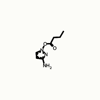 CCCC(=O)On1ccc(N)n1